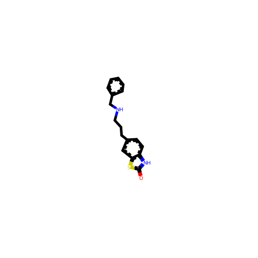 O=c1[nH]c2ccc(CCCNCc3ccccc3)cc2s1